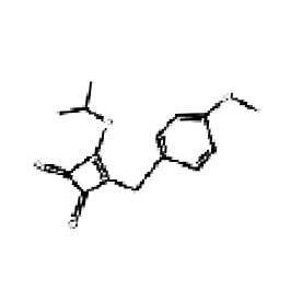 COc1ccc(Cc2c(OC(C)C)c(=O)c2=O)cc1